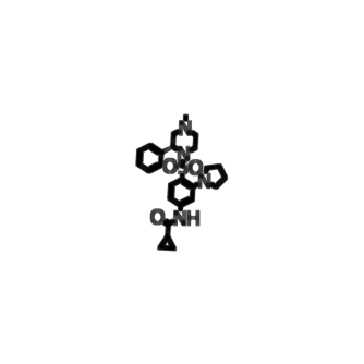 CN1CCN(S(=O)(=O)c2ccc(NC(=O)C3CC3)cc2N2CCCC2)[C@@H](c2ccccc2)C1